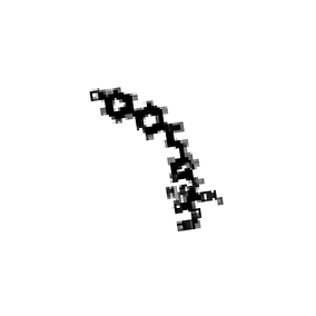 CC(C)(C)OC(=O)C(C)(C)Sc1nc(CCNc2ccc(-c3ccc(Cl)cc3)nc2)cs1